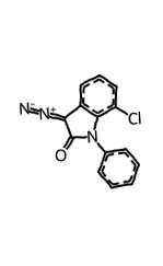 [N-]=[N+]=C1C(=O)N(c2ccccc2)c2c(Cl)cccc21